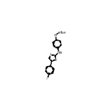 CCCCCCOc1ccc(Nc2nc(-c3ccc(F)cc3)cs2)cc1